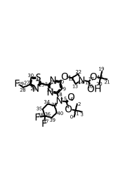 CC(C)(C)OC(=O)N(c1cc(OC2CN(C(O)OC(C)(C)C)C2)nc(-c2nc(CF)cs2)n1)C1CCC(F)(F)CC1